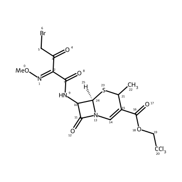 CON=C(C(=O)CBr)C(=O)NC1C(=O)N2C=C(C(=O)OCC(Cl)(Cl)Cl)C(C)S[C@H]12